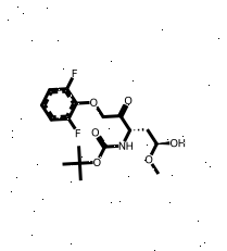 CO[C@H](O)C[C@H](NC(=O)OC(C)(C)C)C(=O)COc1c(F)cccc1F